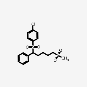 CS(=O)(=O)CCCCC(c1ccccc1)S(=O)(=O)c1ccc(Cl)cc1